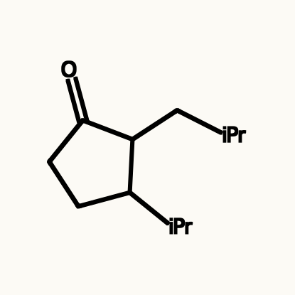 CC(C)CC1C(=O)CCC1C(C)C